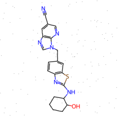 N#Cc1cnc2c(c1)ncn2Cc1ccc2nc(NC3CCCCC3O)sc2c1